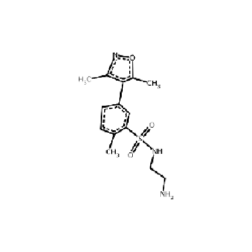 Cc1ccc(-c2c(C)noc2C)cc1S(=O)(=O)NCCN